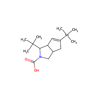 CC(C)(C)C1C2C=[C]([Sn]([CH3])([CH3])[CH3])CC2CN1C(=O)O